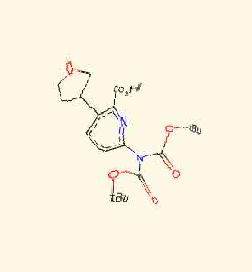 CC(C)(C)OC(=O)N(C(=O)OC(C)(C)C)c1ccc(C2CCOC2)c(C(=O)O)n1